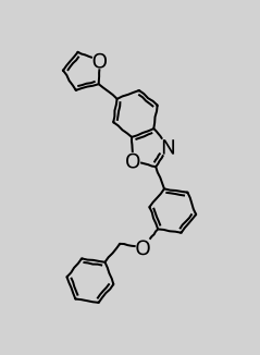 c1ccc(COc2cccc(-c3nc4ccc(-c5ccco5)cc4o3)c2)cc1